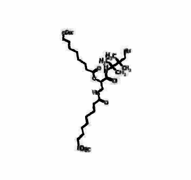 CCCCCCCCCCCCCCCCCC(=O)NCC(OC(=O)CCCCCCCCCCCCCCCCC)C(=O)NC(C)(C)C(C)(C)CC(C)CC